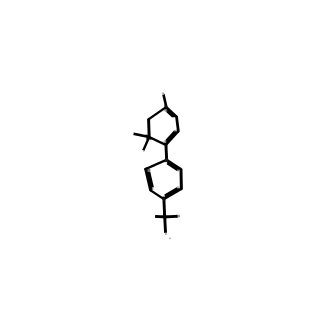 CC(C)C1(C)CC(C=O)=CC=C1c1ccc(C(O)(C(F)(F)F)C(F)(F)F)cc1